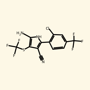 N#Cc1c(-c2ccc(C(F)(F)F)cc2Cl)[nH]c(N)c1SC(F)(F)F